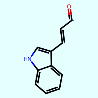 O=[C]/C=C/c1c[nH]c2ccccc12